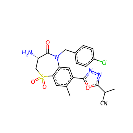 Cc1cc2c(cc1-c1nnc(C(C)C#N)o1)N(Cc1ccc(Cl)cc1)C(=O)[C@@H](N)CS2(=O)=O